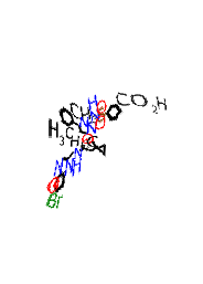 Cc1cccc(C)c1-c1cc(OC[C@@H](CC2(C)CC2)NCc2cnc3oc(Br)cc3n2)nc(NS(=O)(=O)c2cccc(C(=O)O)c2)n1